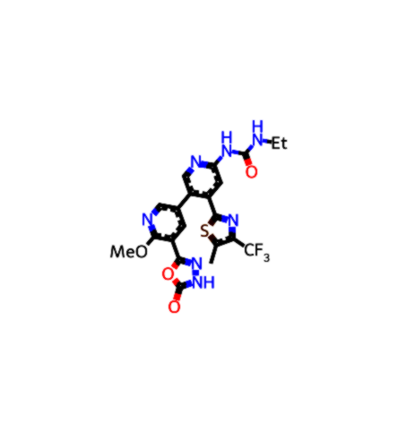 CCNC(=O)Nc1cc(-c2nc(C(F)(F)F)c(C)s2)c(-c2cnc(OC)c(-c3n[nH]c(=O)o3)c2)cn1